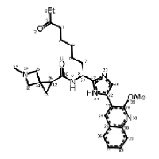 CCC(=O)CCCCC[C@H](NC(=O)[C@H]1CC12CN(C)C2)c1ncc(-c2cc3ccccc3nc2OC)[nH]1